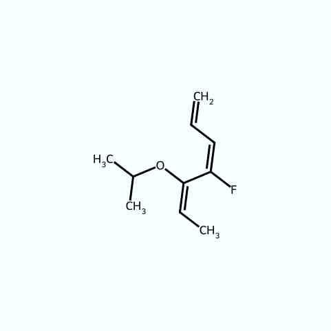 C=C/C=C(F)\C(=C/C)OC(C)C